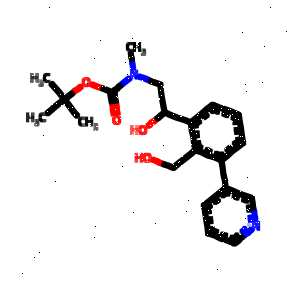 CN(CC(O)c1cccc(-c2cccnc2)c1CO)C(=O)OC(C)(C)C